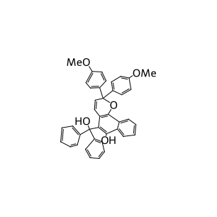 COc1ccc(C2(c3ccc(OC)cc3)C=Cc3c(C(O)(c4ccccc4)c4ccccc4)c(O)c4ccccc4c3O2)cc1